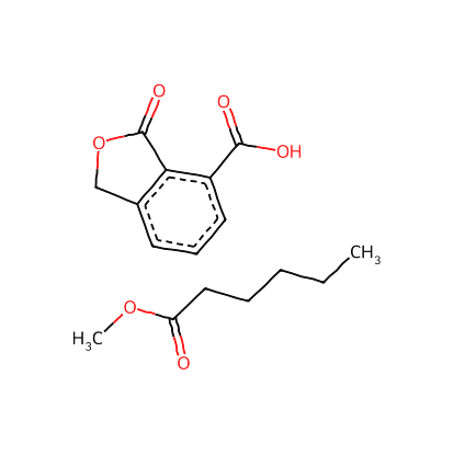 CCCCCC(=O)OC.O=C(O)c1cccc2c1C(=O)OC2